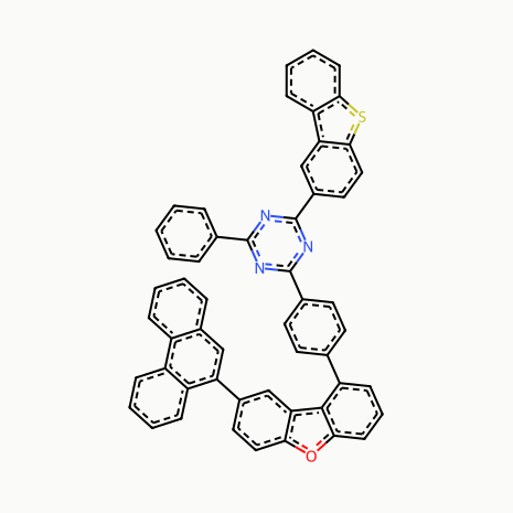 c1ccc(-c2nc(-c3ccc(-c4cccc5oc6ccc(-c7cc8ccccc8c8ccccc78)cc6c45)cc3)nc(-c3ccc4sc5ccccc5c4c3)n2)cc1